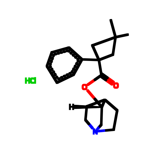 CC1(C)CC(C(=O)O[C@H]2CN3CCC2CC3)(c2ccccc2)C1.Cl